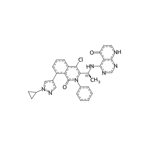 C[C@H](Nc1ncnc2[nH]ccc(=O)c12)c1c(Cl)c2cccc(-c3cnn(C4CC4)c3)c2c(=O)n1-c1ccccc1